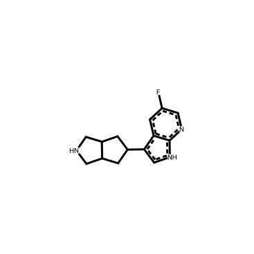 Fc1cnc2[nH]cc(C3CC4CNCC4C3)c2c1